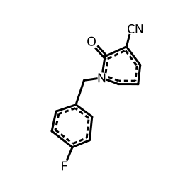 N#Cc1cccn(Cc2ccc(F)cc2)c1=O